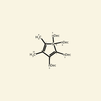 CCCCCCCCCCC1=C(CCCCCCCCCC)[Si](CCCCCCCCCC)(CCCCCCCCCC)C(C)=C1C